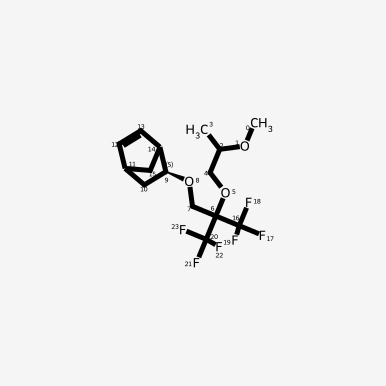 COC(C)COC(CO[C@H]1CC2C=CC1C2)(C(F)(F)F)C(F)(F)F